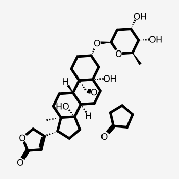 C[C@H]1O[C@@H](O[C@H]2CC[C@]3(C=O)[C@H]4CC[C@]5(C)[C@@H](C6=CC(=O)OC6)CC[C@]5(O)[C@@H]4CC[C@]3(O)C2)C[C@H](O)[C@@H]1O.O=C1CCCC1